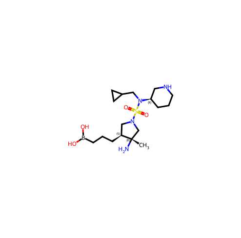 C[C@]1(N)CN(S(=O)(=O)N(CC2CC2)[C@@H]2CCCNC2)C[C@@H]1CCCB(O)O